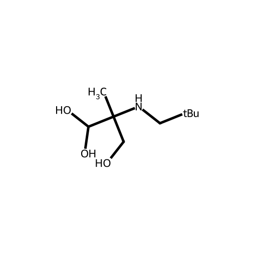 CC(C)(C)CNC(C)(CO)C(O)O